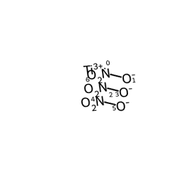 O=[N+]([O-])[O-].O=[N+]([O-])[O-].O=[N+]([O-])[O-].[Ti+3]